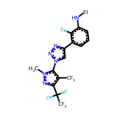 CCNc1cccc(-c2cn(-c3c(C(F)(F)F)c(C(F)(F)C(F)(F)F)nn3C)nn2)c1F